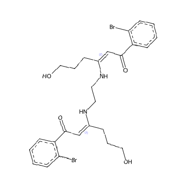 O=C(/C=C(/CCCO)NCCN/C(=C\C(=O)c1ccccc1Br)CCCO)c1ccccc1Br